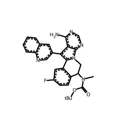 CN(C(=O)OC(C)(C)C)C1Cn2c(c(-c3cnc4ccccc4c3)c3c(N)ncnc32)-c2cc(F)ccc21